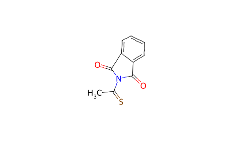 CC(=S)N1C(=O)c2ccccc2C1=O